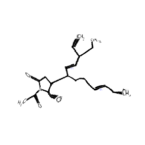 C=CC(/C=C/C(CC/C=C/CC)C1CC(=O)N(C(C)=O)C1=O)CC